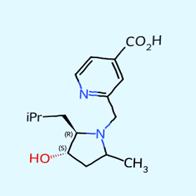 CC(C)C[C@@H]1[C@@H](O)CC(C)N1Cc1cc(C(=O)O)ccn1